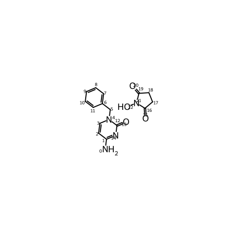 Nc1ccn(Cc2ccccc2)c(=O)n1.O=C1CCC(=O)N1O